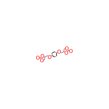 O=C1OCC(COc2ccc(OCC3COC(=O)O3)cc2)O1